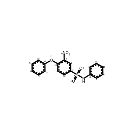 O=[N+]([O-])c1cc(S(=O)(=O)Nc2ccccc2)ccc1Oc1ccccc1